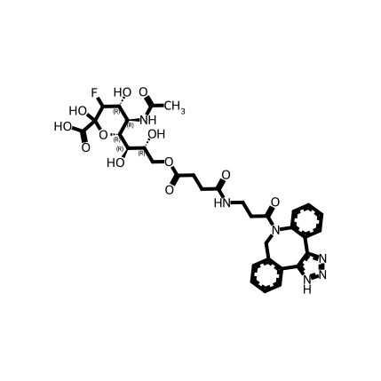 CC(=O)N[C@H]1[C@H]([C@H](O)[C@H](O)COC(=O)CCC(=O)NCCC(=O)N2Cc3ccccc3-c3[nH]nnc3-c3ccccc32)OC(O)(C(=O)O)C(F)[C@@H]1O